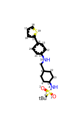 CC(C)(C)S(=O)(=O)NC1CCC(CNc2ccc(-c3cccs3)cc2)CC1